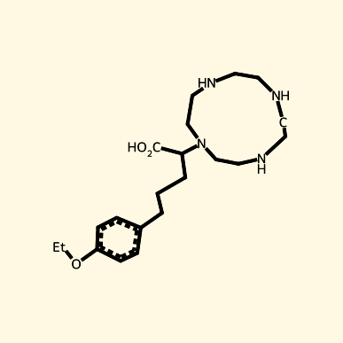 CCOc1ccc(CCCC(C(=O)O)N2CCNCCNCCNCC2)cc1